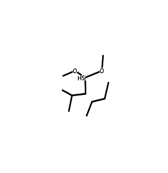 CCCC.CO[SiH](CC(C)C)OC